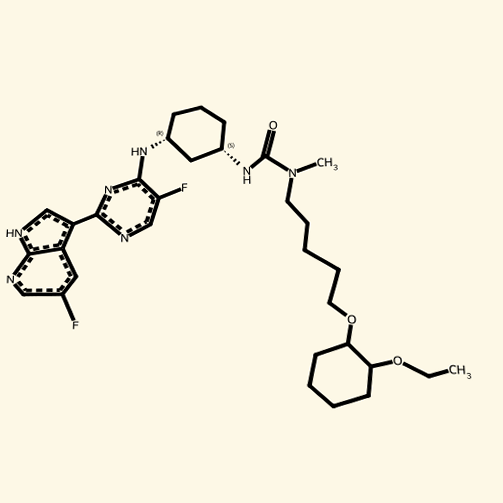 CCOC1CCCCC1OCCCCCN(C)C(=O)N[C@H]1CCC[C@@H](Nc2nc(-c3c[nH]c4ncc(F)cc34)ncc2F)C1